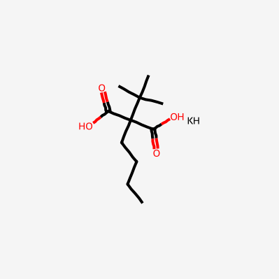 CCCCC(C(=O)O)(C(=O)O)C(C)(C)C.[KH]